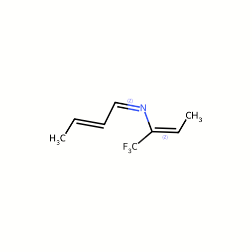 CC=C/C=N\C(=C/C)C(F)(F)F